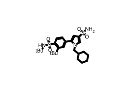 CC(C)(C)NS(=O)(=O)c1ccc(-c2cc(S(N)(=O)=O)cn2CC2CCCCC2)cc1C(C)(C)C